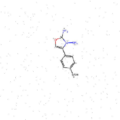 COc1ccc(C2=COC(N)N2N)cc1